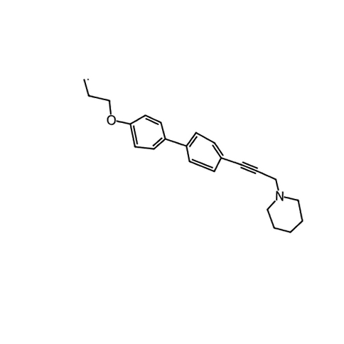 [CH2]CCOc1ccc(-c2ccc(C#CCN3CCCCC3)cc2)cc1